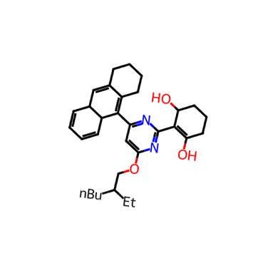 CCCCC(CC)COc1cc(C2=C3CCCCC3=CC3C=CC=CC23)nc(C2=C(O)CCCC2O)n1